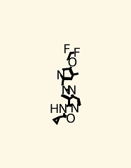 Cc1cc(Cn2cc3c(NC(=O)C4CC4)nccc3n2)ncc1OCC(F)F